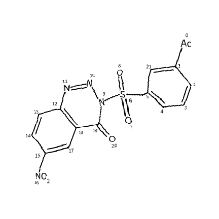 CC(=O)c1cccc(S(=O)(=O)n2nnc3ccc([N+](=O)[O-])cc3c2=O)c1